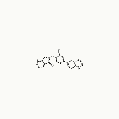 O=C1c2cccnc2CN1Cc1ccc(-c2ccc3ncccc3c2)cc1F